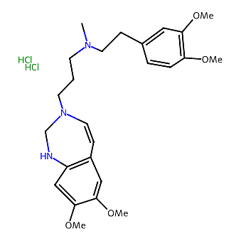 COc1ccc(CCN(C)CCCN2C=Cc3cc(OC)c(OC)cc3NC2)cc1OC.Cl.Cl